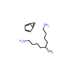 CC(CCCCN)CCCCN.c1cc2cc-2c1